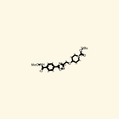 CONC(=O)c1ccc(-c2nc(COC3CCN(C(=O)OC(C)(C)C)CC3)no2)cc1